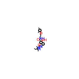 CCc1c(C)nn(C(=O)N(C)c2cccc3c(O)c(C(=O)NCCCOc4ccc(C)cc4C)ccc23)c1C